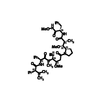 CC[C@H](C)[C@@H]([C@@H](CC(=O)N1CCC[C@H]1[C@H](OC)[C@@H](C)C(=O)N[C@@H](CC(C)C)C(=O)NOC)OC)N(C)C(=O)[C@@H](NC(=O)[C@H](C(C)C)N(C)C)C(C)C